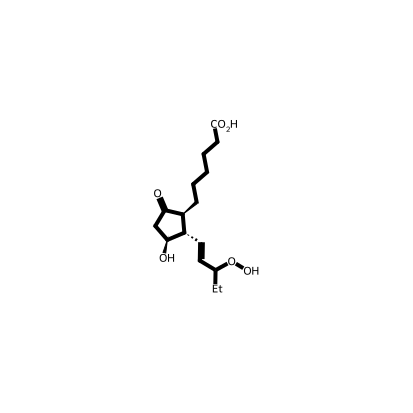 CCC(C=C[C@H]1[C@H](CCCCCC(=O)O)C(=O)C[C@@H]1O)OO